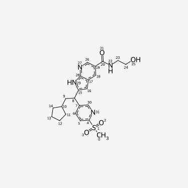 CS(=O)(=O)c1ccc(C(CC2CCCC2)c2cc3cc(C(=O)NCCO)cnc3[nH]2)cn1